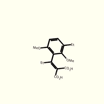 CCC(=C(C(=O)O)C(=O)O)c1c(OC)ccc(CC)c1OC